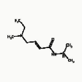 CN(C/C=C/C(=O)N[SH](C)C)CC(F)(F)F